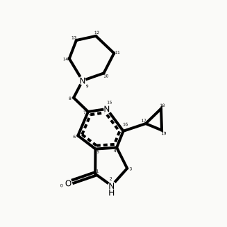 O=C1NCc2c1cc(CN1CCCCC1)nc2C1CC1